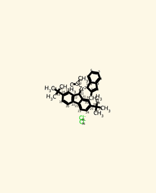 CC1=Cc2ccccc2[CH]1[Zr+2]([CH]1c2cc(C(C)(C)C)ccc2-c2ccc(C(C)(C)C)cc21)=[Si](C)C.[Cl-].[Cl-]